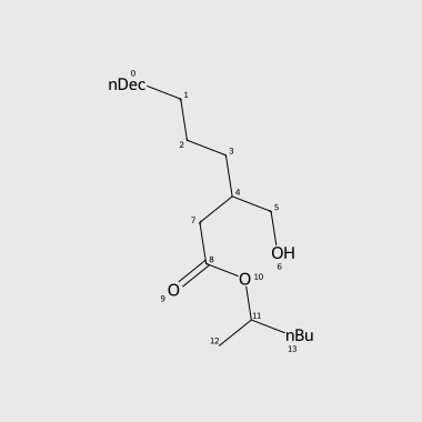 CCCCCCCCCCCCCC(CO)CC(=O)OC(C)CCCC